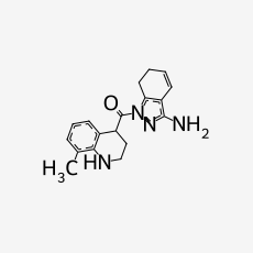 Cc1cccc2c1NCCC2C(=O)n1nc(N)c2c1CCC=C2